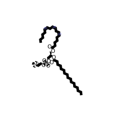 CCCCC/C=C\C/C=C\C/C=C\CCCCC(=O)OC[C@H](COP(=O)([O-])OCC[N+](C)(C)C)OC(=O)CCCCCCCCCCCCCCCC